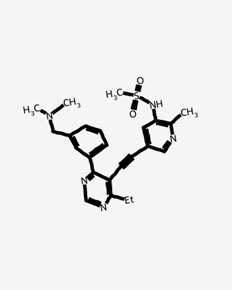 CCc1ncnc(-c2cccc(CN(C)C)c2)c1C#Cc1cnc(C)c(NS(C)(=O)=O)c1